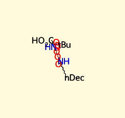 CCCCCCCCCCCCCCCCCCC(=O)NCCOCCOCC(=O)NC(CCC(=O)O)C(=O)OC(C)(C)C